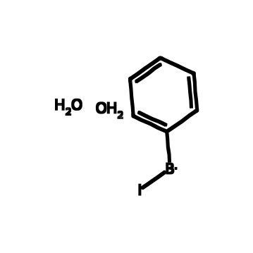 I[B]c1ccccc1.O.O